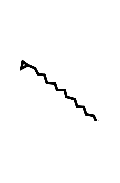 [CH2]CCCCCCCCCCCCCC1CC1